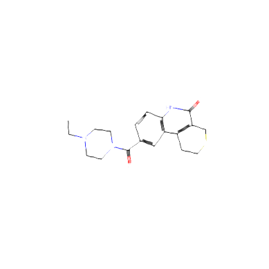 CCN1CCN(C(=O)c2ccc3[nH]c(=O)c4c(c3c2)CCSC4)CC1